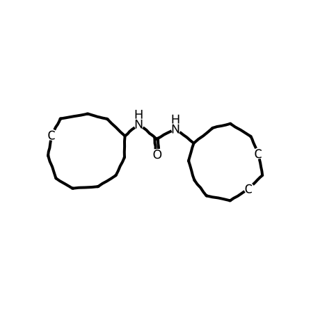 O=C(NC1CCCCCCCCCC1)NC1CCCCCCCCCC1